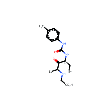 CCC(NCC(=O)O)C(=O)[C@H](CC(C)C)NC(=O)Nc1ccc(C(F)(F)F)cc1